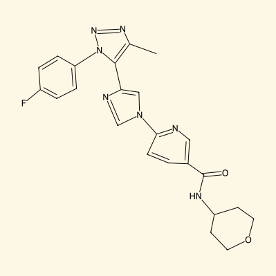 Cc1nnn(-c2ccc(F)cc2)c1-c1cn(-c2ccc(C(=O)NC3CCOCC3)cn2)cn1